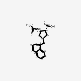 CC(=O)N[C@H]1CN(Cc2cccc3ccccc23)C[C@H]1C(=O)O